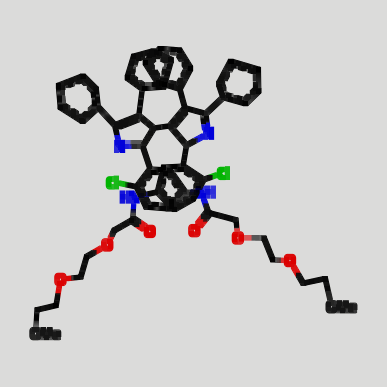 COCCOCCOCC(=O)Nc1ccc(Cl)c(C2=NC(c3ccccc3)=C(c3ccccc3)C2C2=C(c3ccccc3)C(c3ccccc3)=NC2c2cc(NC(=O)COCCOCCOC)ccc2Cl)c1